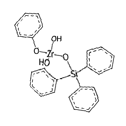 [OH][Zr]([OH])([O]c1ccccc1)[O][Si](c1ccccc1)(c1ccccc1)c1ccccc1